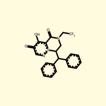 O=C1c2c(O)c(=O)cnn2C(C(c2ccccc2)c2ccccc2)CN1CC(F)(F)F